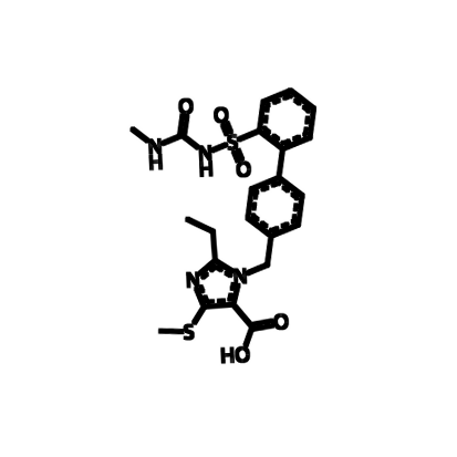 CCc1nc(SC)c(C(=O)O)n1Cc1ccc(-c2ccccc2S(=O)(=O)NC(=O)NC)cc1